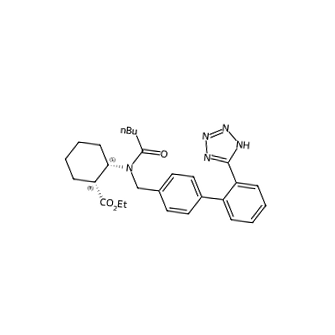 CCCCC(=O)N(Cc1ccc(-c2ccccc2-c2nnn[nH]2)cc1)[C@H]1CCCC[C@H]1C(=O)OCC